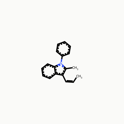 C/C=C\c1c(C)n(-c2ccccc2)c2ccccc12